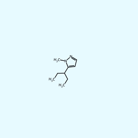 CCC(CC)c1ccnn1C